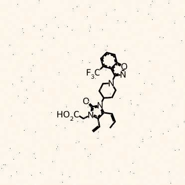 C=Cc1c(/C=C\C)n(C2CCN(c3noc4cccc(C(F)(F)F)c34)CC2)c(=O)n1CC(=O)O